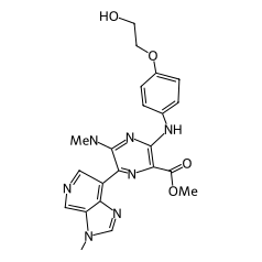 CNc1nc(Nc2ccc(OCCO)cc2)c(C(=O)OC)nc1-c1cncc2c1ncn2C